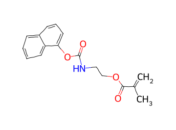 C=C(C)C(=O)OCCNC(=O)Oc1cccc2ccccc12